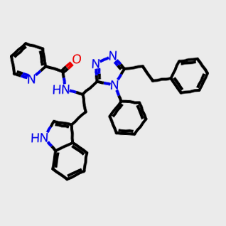 O=C(NC(Cc1c[nH]c2ccccc12)c1nnc(CCc2ccccc2)n1-c1ccccc1)c1ccccn1